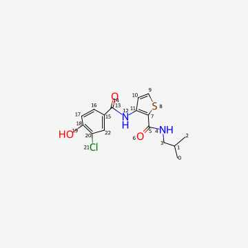 CC(C)CNC(=O)c1sccc1NC(=O)c1ccc(O)c(Cl)c1